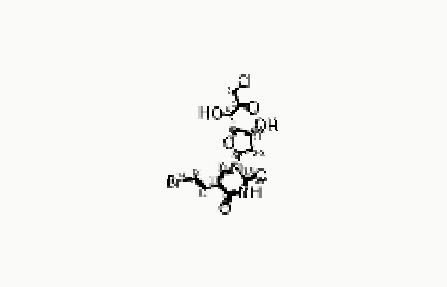 O=C(CCl)C(O)[C@H]1O[C@@H](n2cc(C=CBr)c(=O)[nH]c2=O)C[C@@H]1O